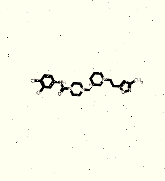 Cc1cc(CCN2CCC[C@@H](CN3CCN(C(=O)Nc4ccc(Cl)c(Cl)c4)CC3)C2)on1